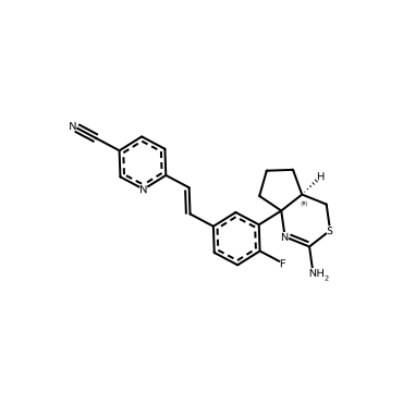 N#Cc1ccc(C=Cc2ccc(F)c(C34CCC[C@H]3CSC(N)=N4)c2)nc1